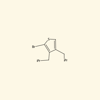 CC(C)Cc1csc(Br)c1CC(C)C